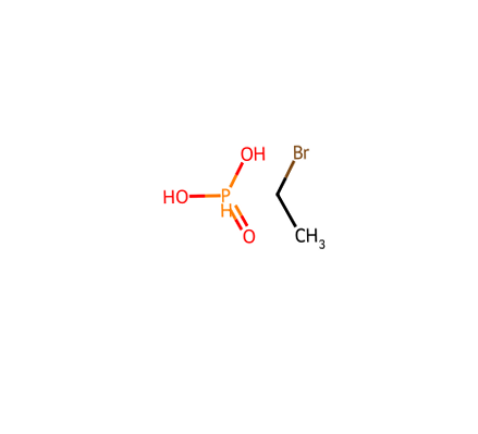 CCBr.O=[PH](O)O